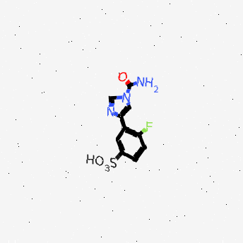 NC(=O)n1cnc(-c2cc(S(=O)(=O)O)ccc2F)c1